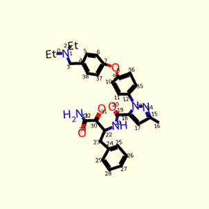 CCN(CC)Cc1ccc(Oc2ccc(-n3nc(C)cc3C(=O)NC(Cc3ccccc3)C(=O)C(N)=O)cc2)cc1